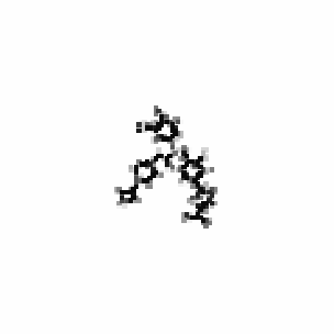 O=C(CN1CCN(C2COC2)CC1)N(Cc1ccc(-c2nnc(C(F)F)o2)cc1F)c1ccc(F)c(Cl)c1